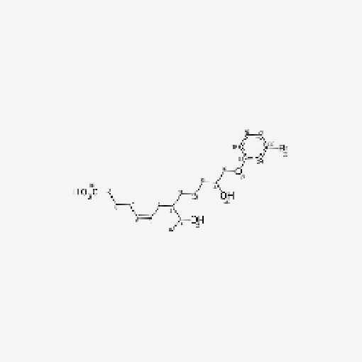 CC(O)C(C/C=C\CCCC(=O)O)CCCC(O)COc1cccc(Br)c1